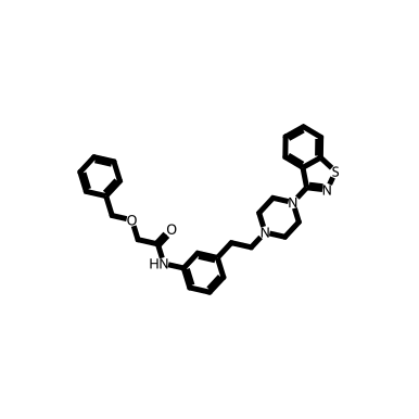 O=C(COCc1ccccc1)Nc1cccc(CCN2CCN(c3nsc4ccccc34)CC2)c1